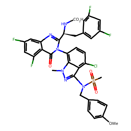 COc1ccc(CN(c2nn(C)c3c(-n4c([C@H](Cc5cc(F)cc(F)c5)NC(=O)O)nc5cc(F)cc(F)c5c4=O)ccc(Cl)c23)S(C)(=O)=O)cc1